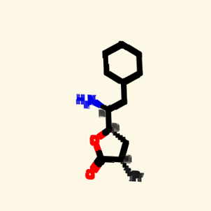 CC(C)[C@H]1C[C@@H]([C@@H](N)CC2CCCCC2)OC1=O